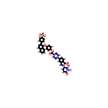 CS(=O)(=O)c1ccc(-c2ccc3ccccc3c2Oc2ccc(OC(=O)N3CCN(c4ccc5c(c4)CN(C4CCC(=O)NC4=O)C5=O)CC3)cc2)cc1